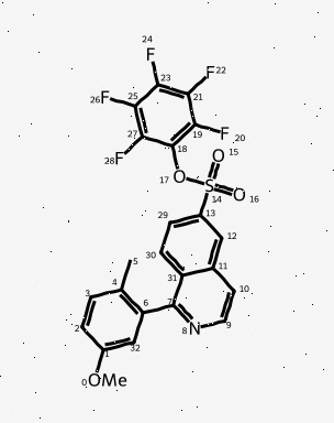 COc1ccc(C)c(-c2nccc3cc(S(=O)(=O)Oc4c(F)c(F)c(F)c(F)c4F)ccc23)c1